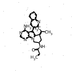 C=CC(=O)NC1CC(=C(C)C)c2c(-c3cnc4ccccc4c3)c3c(N)ncnc3n2C1